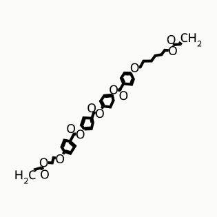 C=CC(=O)OCCCCCCOc1ccc(C(=O)OC2=CC=C(OC(=O)c3ccc(OC(=O)c4ccc(OCCOC(=O)C=C)cc4)cc3)CC2)cc1